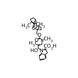 C[C@H](C[C@@H](C)C(O)N1c2ccccc2C[C@H]1C(=O)O)C(=O)OCC(=O)OC1CC2CCC1(C)C2(C)C